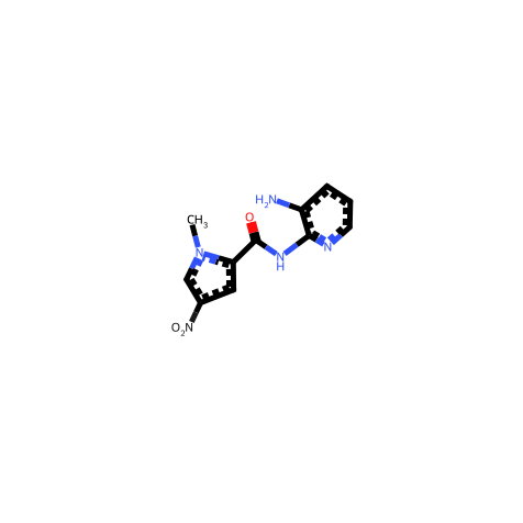 Cn1cc([N+](=O)[O-])cc1C(=O)Nc1ncccc1N